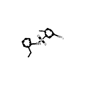 CCc1ccccc1NS(=O)(=O)c1cc(N)ccc1C